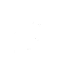 CCOC(=O)c1c(C)nc(O)nc1-c1ccccc1Cl